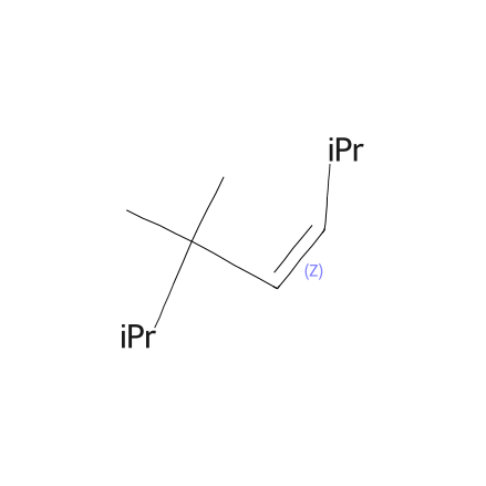 CC(C)/C=C\C(C)(C)C(C)C